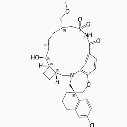 COC[C@H]1C/C=C/[C@H](O)[C@@H]2CC[C@H]2CN2C[C@@]3(CCCc4cc(Cl)ccc43)COc3ccc(cc32)C(=O)NS(=O)(=O)C1